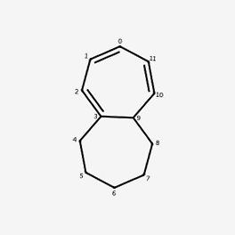 C1=CC=C2CCCCCC2C=C1